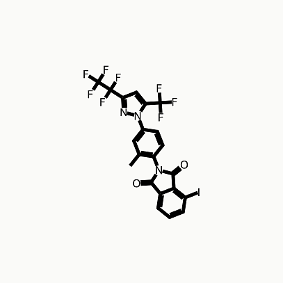 Cc1cc(-n2nc(C(F)(F)C(F)(F)F)cc2C(F)(F)F)ccc1N1C(=O)c2cccc(I)c2C1=O